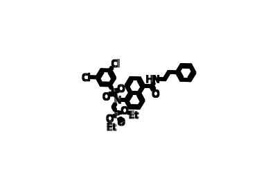 CCOP(=O)(CN(c1cccc2c(C(=O)NCCc3ccccc3)cccc12)S(=O)(=O)c1cc(Cl)cc(Cl)c1)OCC